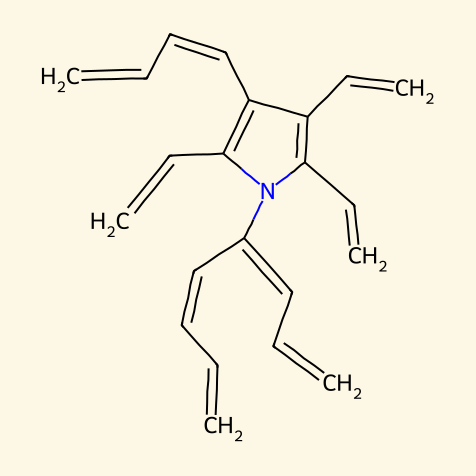 C=C/C=C\C(=C/C=C)n1c(C=C)c(C=C)c(/C=C\C=C)c1C=C